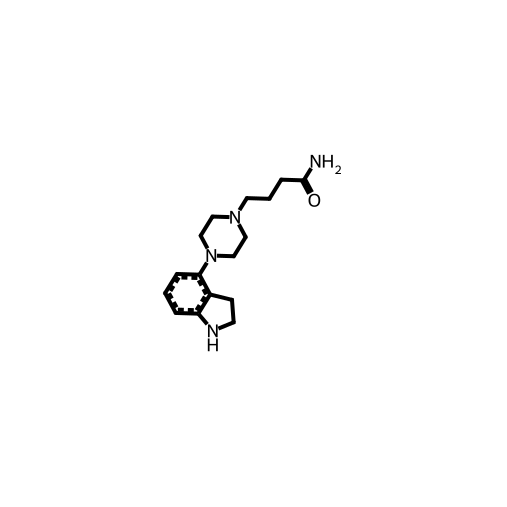 NC(=O)CCCN1CCN(c2cccc3c2CCN3)CC1